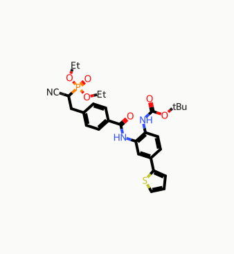 CCOP(=O)(OCC)C(C#N)Cc1ccc(C(=O)Nc2cc(-c3cccs3)ccc2NC(=O)OC(C)(C)C)cc1